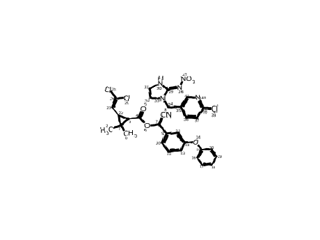 CC1(C)[C@H](C(=O)OC(C#N)c2cccc(Oc3ccccc3)c2)[C@@H]1C=C(Cl)Cl.O=[N+]([O-])/N=C1\NCCN1Cc1ccc(Cl)nc1